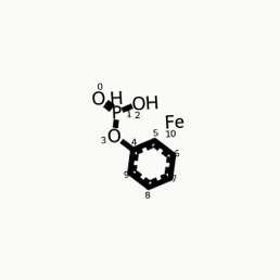 O=[PH](O)Oc1ccccc1.[Fe]